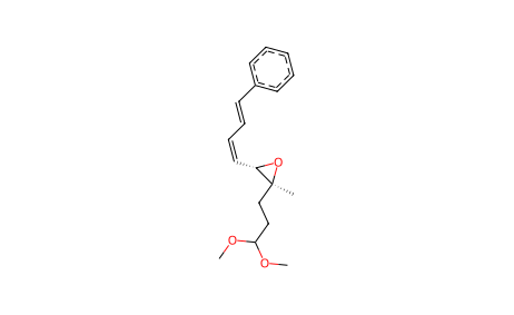 COC(CC[C@]1(C)O[C@H]1/C=C\C=C\c1ccccc1)OC